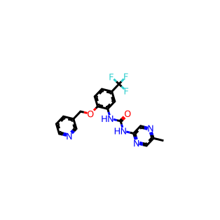 Cc1cnc(NC(=O)Nc2cc(C(F)(F)F)ccc2OCc2cccnc2)cn1